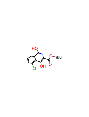 CCCCOC(=O)c1nc(O)c2cccc(Cl)c2c1O